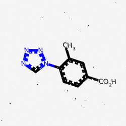 Cc1cc(C(=O)O)ccc1-n1cnnn1